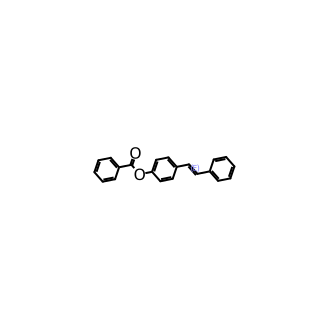 O=C(Oc1ccc(/C=C/c2ccccc2)cc1)c1ccccc1